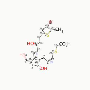 B=C[C@@H]1CC(O)[C@H](C/C=C\CSCC(=O)O)[C@H]1/C=C/[C@@H](O)CCc1cc(Br)c(C)s1